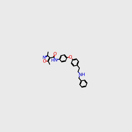 Cc1noc(C)c1C(=O)Nc1ccc(Oc2ccc(CCNCc3ccccc3)cc2)cc1